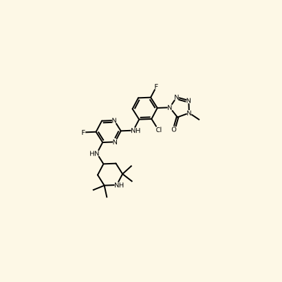 Cn1nnn(-c2c(F)ccc(Nc3ncc(F)c(NC4CC(C)(C)NC(C)(C)C4)n3)c2Cl)c1=O